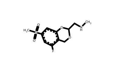 CNCC1OCc2c(F)cc(S(C)(=O)=O)cc2O1